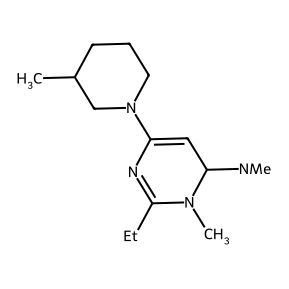 CCC1=NC(N2CCCC(C)C2)=CC(NC)N1C